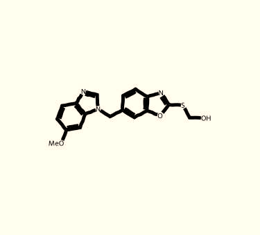 COc1ccc2ncn(Cc3ccc4nc(SCO)oc4c3)c2c1